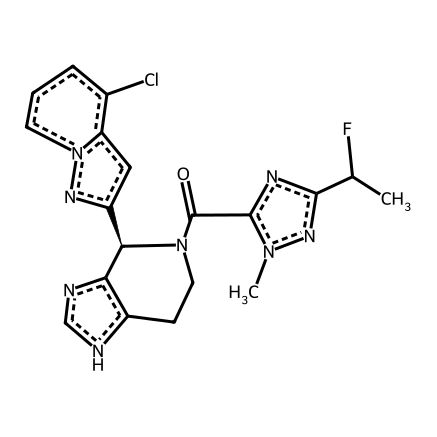 CC(F)c1nc(C(=O)N2CCc3[nH]cnc3[C@H]2c2cc3c(Cl)cccn3n2)n(C)n1